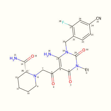 CCn1c(=O)c(C(=O)CN2CCCC[C@@H]2C(N)=O)c(N)n(Cc2ccc(C#N)cc2F)c1=O